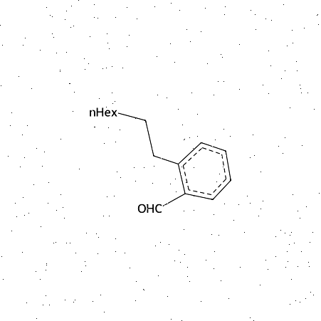 CCCCCCCCc1ccccc1C=O